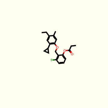 CCC(=O)Oc1cccc(F)c1COc1cc(C)c(CC)cc1C1CC1